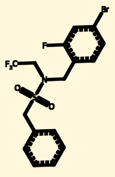 O=S(=O)(Cc1ccccc1)N(Cc1ccc(Br)cc1F)CC(F)(F)F